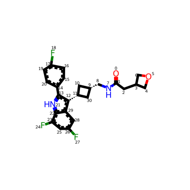 O=C(CC1COC1)NC[C@H]1C[C@@H](c2c(-c3ccc(F)cc3)[nH]c3c(F)cc(F)cc32)C1